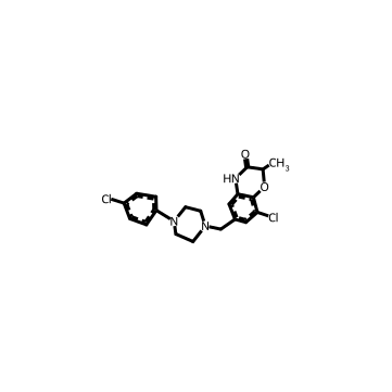 CC1Oc2c(Cl)cc(CN3CCN(c4ccc(Cl)cc4)CC3)cc2NC1=O